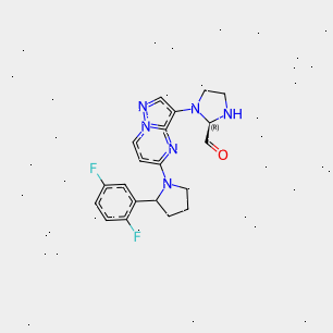 O=C[C@@H]1NCCN1c1cnn2ccc(N3CCCC3c3cc(F)ccc3F)nc12